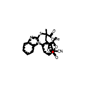 COC(=O)C(C)(Cc1oc(=O)oc1C)Sc1nc2ccccc2n1-c1ccc(C#N)cc1